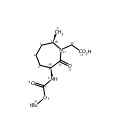 C[C@@H]1CCC[C@H](NC(=O)OC(C)(C)C)C(=O)N1CC(=O)O